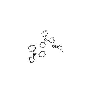 [C]=O.[I-].[I-].[I-].[Rh+3].c1cc[c]([Sb]([c]2ccccc2)[c]2ccccc2)cc1.c1cc[c]([Sb]([c]2ccccc2)[c]2ccccc2)cc1